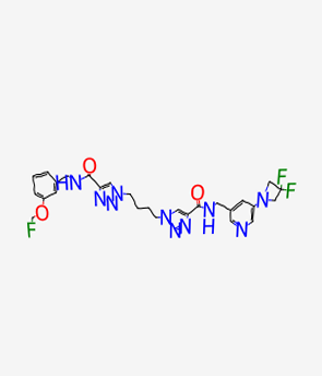 O=C(NCc1cccc(OCF)c1)c1cn(CCCCn2cc(C(=O)NCc3cncc(N4CC(F)(F)C4)c3)nn2)nn1